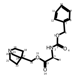 C[C@H](NC(=O)OCc1ccccc1)C(=O)OCC12CCN(CC1)CC2